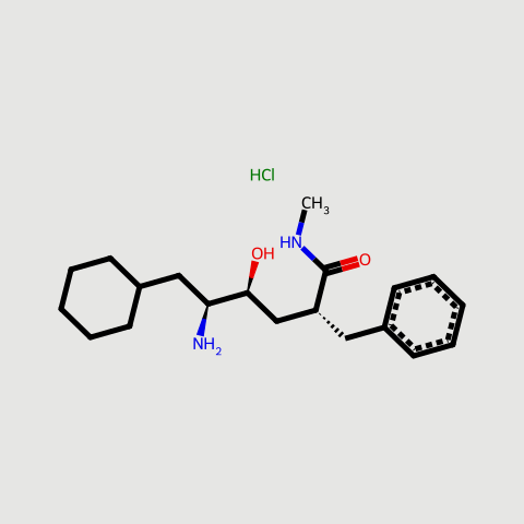 CNC(=O)[C@H](Cc1ccccc1)C[C@H](O)[C@@H](N)CC1CCCCC1.Cl